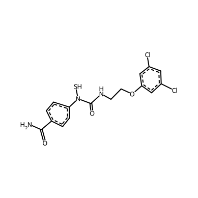 NC(=O)c1ccc(N(S)C(=O)NCCOc2cc(Cl)cc(Cl)c2)cc1